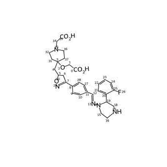 O=C(O)COC1(CC2CC(c3ccc(C=NN4CCNCC4c4ccccc4F)cc3)=NO2)CCN(CC(=O)O)CC1